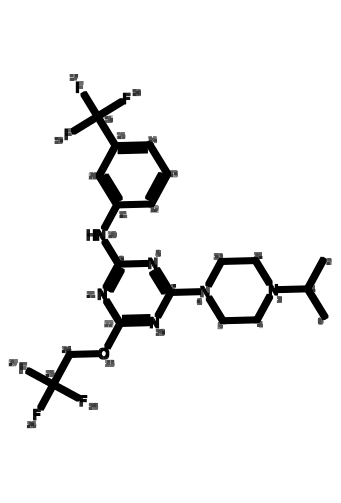 CC(C)N1CCN(c2nc(Nc3cccc(C(F)(F)F)c3)nc(OCC(F)(F)F)n2)CC1